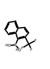 OB(O)c1c(C(F)(F)F)ccc2ccccc12